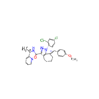 COc1ccc(/C=C2\CCCCc3c(C(=O)N[C@H](C)c4ccccn4)nn(-c4ccc(Cl)cc4Cl)c32)cc1